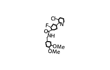 COc1ccc(CNC(=O)c2ccc(-c3ncccc3Cl)cc2F)cc1OC